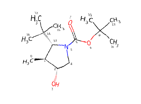 C[C@@H]1[C@@H](O)CN(C(=O)OC(C)(C)C)[C@H]1C(C)(C)C